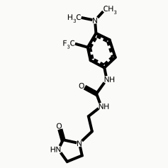 CN(C)c1ccc(NC(=O)NCCN2CCNC2=O)cc1C(F)(F)F